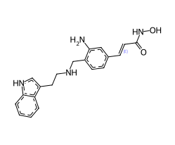 Nc1cc(/C=C/C(=O)NO)ccc1CNCCc1c[nH]c2ccccc12